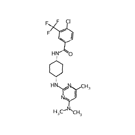 Cc1cc(N(C)C)nc(N[C@H]2CC[C@@H](NC(=O)c3ccc(Cl)c(C(F)(F)F)c3)CC2)n1